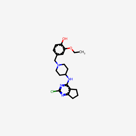 CCOc1cc(CN2CCC(Nc3nc(Cl)nc4c3CCC4)CC2)ccc1O